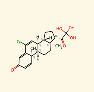 C[C@]12CC[C@H]3[C@@H](C=C(Cl)C4=CC(=O)C=C[C@@]43C)[C@@H]1CC[C@@H]2C(=O)C(O)(O)O